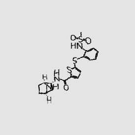 CS(=O)(=O)Nc1ccccc1Sc1ccc(C(=O)N[C@@H]2C[C@H]3CC[C@@H]2N3)s1